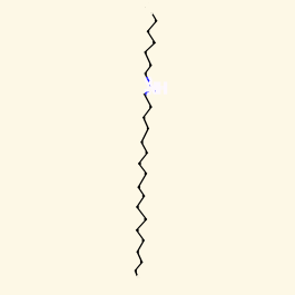 CCCCCCCCCCCCCCCCCCNCCCCCCC